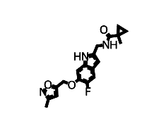 Cc1cc(COc2cc3[nH]c(CNC(=O)C4(C)CC4)cc3cc2F)on1